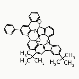 CC(C)(C)c1ccc2c(c1)c1cc(C(C)(C)C)ccc1n2-c1cccc2c1C(=O)N(c1c(-c3ccccc3)cc(-c3ccccc3)cc1-c1ccccc1)C2=O